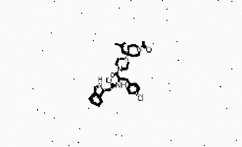 CC(=O)N1CCC(CC(C)C)(N2CCN(C(=O)C(Cc3ccc(Cl)cc3)NC(=O)CC3NCc4ccccc43)CC2)CC1